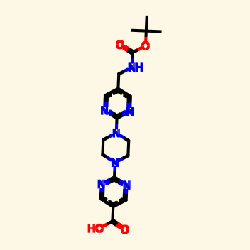 CC(C)(C)OC(=O)NCc1cnc(N2CCN(c3ncc(C(=O)O)cn3)CC2)nc1